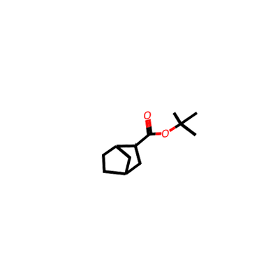 CC(C)(C)OC(=O)[C]1CC2CCC1C2